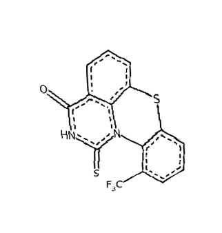 O=c1[nH]c(=S)n2c3c(cccc13)Sc1cccc(C(F)(F)F)c1-2